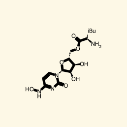 CC[C@@H](C)[C@@H](N)C(=O)OC[C@H]1O[C@@H](n2ccc(NO)nc2=O)[C@H](O)[C@@H]1O